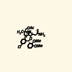 COc1cccc([C@H]2O[C@H](CCC(N)=S)C(=O)N(CC(C)(C)COC(C)=O)c3ccc(Cl)cc32)c1OC